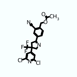 CC(=O)OCc1ccc(C2=NCC(c3cc(Cl)nc(Cl)c3)(C(F)(F)F)C2)cc1C#N